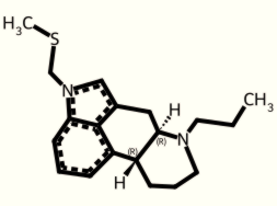 CCCN1CCC[C@@H]2c3cccc4c3c(cn4CSC)C[C@H]21